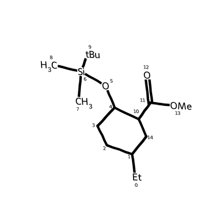 CCC1CCC(O[Si](C)(C)C(C)(C)C)C(C(=O)OC)C1